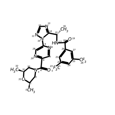 C[C@@H]1CN(C(=O)c2cnc(-n3ncnc3[C@H](C)NC(=O)c3cc(C(F)(F)F)cc(C(F)(F)F)c3)cn2)C[C@H](C)O1